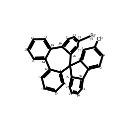 Clc1ccc2c(c1)C1(c3ccccc3-c3ccccc3-c3ccc(Br)cc31)c1ccccc1-2